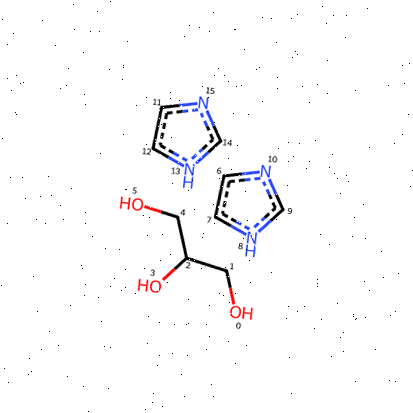 OCC(O)CO.c1c[nH]cn1.c1c[nH]cn1